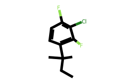 CCC(C)(C)c1ccc(F)c(Cl)c1F